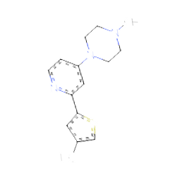 Cc1csc(-c2cc(N3CCN(C)CC3)ccn2)c1